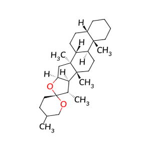 CC1CC[C@@]2(OC1)O[C@H]1C[C@@]3(C)[C@@H]4CC[C@@H]5CCCC[C@]5(C)[C@H]4CC[C@]3(C)[C@H]1[C@@H]2C